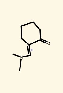 CN(C)/C=C1\CCCCC1=O